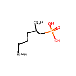 CCCCCCCCCCC(CP(=O)(O)O)C(=O)O